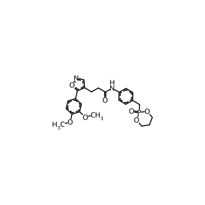 COc1ccc(-c2oncc2CCC(=O)Nc2ccc(CP3(=O)OCCCO3)cc2)cc1OC